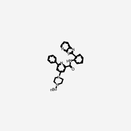 CCCCN1CCN(c2cc(C(=O)Nc3ccccc3-c3nc4cccnc4s3)nc(-c3ccccc3)c2)CC1